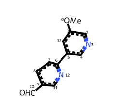 COc1cncc(-c2ccc(C=O)cn2)c1